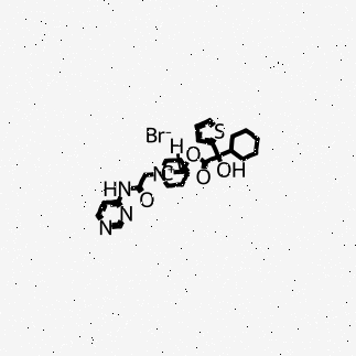 O=C(C[N+]12CCC(CC1)[C@@H](OC(=O)C(O)(c1cccs1)C1CCCCC1)C2)Nc1ccncn1.[Br-]